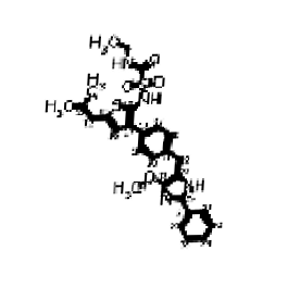 CCNC(=O)S(=O)(=O)Nc1sc(CC(C)C)cc1-c1ccc(Cc2[nH]c(-c3ccccc3)nc2OC)cc1